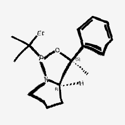 CCC(C)(C)P1O[C@@](C)(c2ccccc2)[C@H]2CCCN21